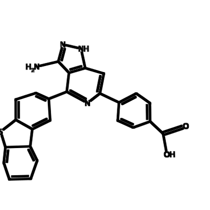 Nc1n[nH]c2cc(-c3ccc(C(=O)O)cc3)nc(-c3ccc4sc5ccccc5c4c3)c12